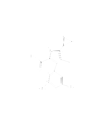 Cc1c(C2CC2)[nH]c(C(=O)O)c1-c1cc(Cl)cc(Cl)c1